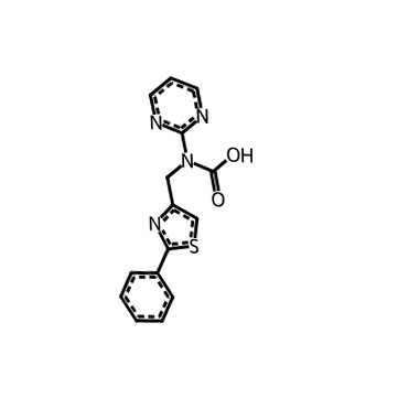 O=C(O)N(Cc1csc(-c2ccccc2)n1)c1ncccn1